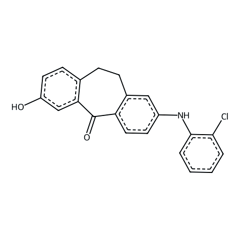 O=C1c2ccc(Nc3ccccc3Cl)cc2CCc2ccc(O)cc21